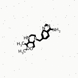 COC(C)C1NCCN(Cc2ccc3c(N)ncnc3c2)C1C=O